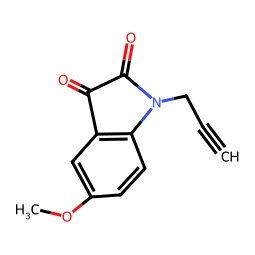 C#CCN1C(=O)C(=O)c2cc(OC)ccc21